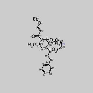 CCOC=CC(=O)N1C[C@@H](C)N(CCCc2ccccc2)C[C@@H]1C.O=C(O)/C=C\C(=O)O